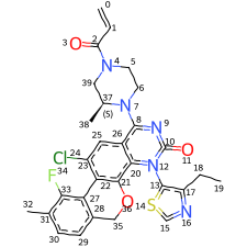 C=CC(=O)N1CCN(c2nc(=O)n(-c3scnc3CC)c3c4c(c(Cl)cc23)-c2c(ccc(C)c2F)CO4)[C@@H](C)C1